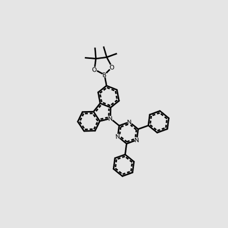 CC1(C)OB(c2ccc3c(c2)c2ccccc2n3-c2nc(-c3ccccc3)nc(-c3ccccc3)n2)OC1(C)C